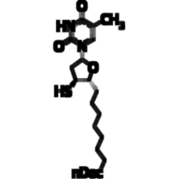 CCCCCCCCCCCCCCCCC[C@H]1O[C@@H](n2cc(C)c(=O)[nH]c2=O)C[C@@H]1S